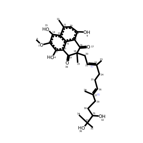 COc1c(O)c2c3c(c(O)cc(C)c3c1O)C(=O)C(C)(C/C=C(\C)CC/C=C(\C)CCC(O)C(C)(C)O)C2=O